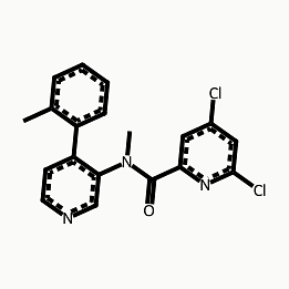 Cc1ccccc1-c1ccncc1N(C)C(=O)c1cc(Cl)cc(Cl)n1